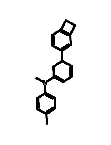 Cc1ccc(N(C)C2=CC=CC(c3ccc4c(c3)CC4)C2)cc1